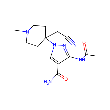 CC(=O)Nc1nn(C2(CC#N)CCN(C)CC2)cc1C(N)=O